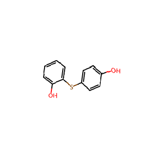 Oc1ccc(Sc2ccccc2O)cc1